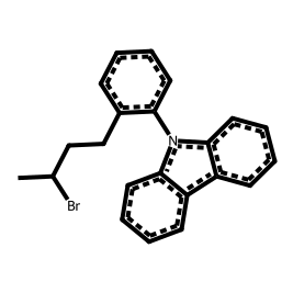 CC(Br)CCc1ccccc1-n1c2ccccc2c2ccccc21